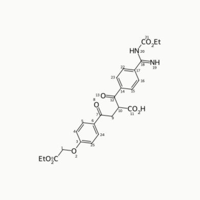 CCOC(=O)COc1ccc(C(=O)CC(C(=O)O)C(=O)c2ccc(C(=N)NC(=O)OCC)cc2)cc1